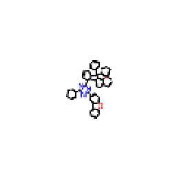 c1ccc(-c2nc(-c3ccc4oc5ccccc5c4c3)nc(-c3cccc4c3-c3ccc5ccccc5c3C4(c3ccccc3)c3ccccc3)n2)cc1